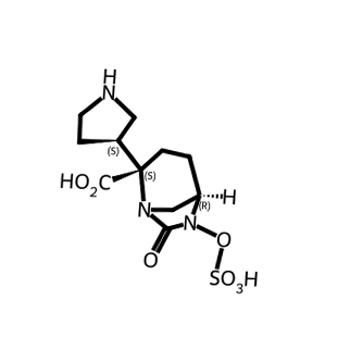 O=C1N(OS(=O)(=O)O)[C@@H]2CC[C@@](C(=O)O)([C@H]3CCNC3)N1C2